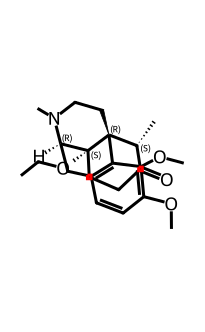 CCO[C@@]12CCC(=O)[C@@H](C)[C@@]13CCN(C)[C@@H]2Cc1ccc(OC)c(OC)c13